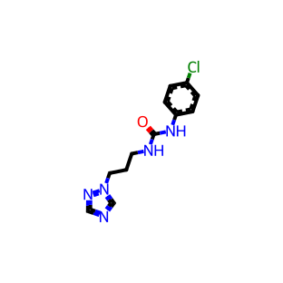 O=C(NCCCn1cncn1)Nc1ccc(Cl)cc1